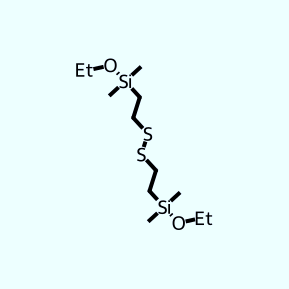 CCO[Si](C)(C)CCSSCC[Si](C)(C)OCC